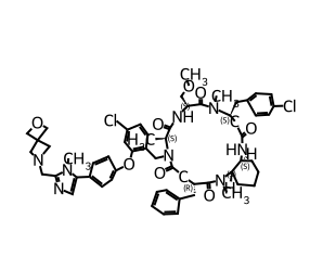 COC[C@@H]1NC(=O)[C@H](C)N(Cc2ccc(Cl)cc2Oc2ccc(-c3cnc(CN4CC5(COC5)C4)n3C)cc2)C(=O)C[C@@H](Cc2ccccc2)C(=O)N(C)[C@H]2CCCC[C@@H]2NC(=O)C[C@H](Cc2ccc(Cl)cc2)N(C)C1=O